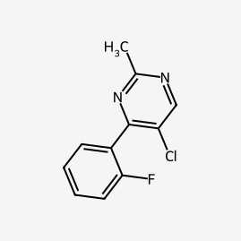 Cc1ncc(Cl)c(-c2ccccc2F)n1